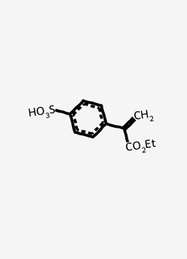 C=C(C(=O)OCC)c1ccc(S(=O)(=O)O)cc1